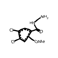 COc1cc(Cl)c(Cl)cc1C(=O)NN